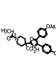 COc1ccc(-c2nc(C3(C(=O)O)CCN(C(=O)N(C)O)CC3)oc2-c2ccc(OC)cc2)cc1